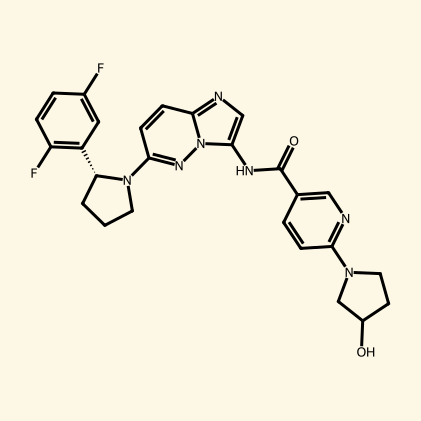 O=C(Nc1cnc2ccc(N3CCC[C@@H]3c3cc(F)ccc3F)nn12)c1ccc(N2CCC(O)C2)nc1